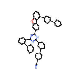 N#Cc1ccc(-c2cccc(-c3nc(-c4ccc5c(c4)oc4cccc(-c6ccc(-c7ccccc7)cc6)c45)nc(-c4ccccc4-c4ccccc4)n3)c2)cc1